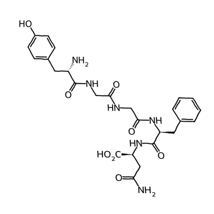 NC(=O)C[C@H](NC(=O)[C@H](Cc1ccccc1)NC(=O)CNC(=O)CNC(=O)[C@@H](N)Cc1ccc(O)cc1)C(=O)O